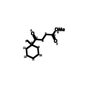 COC(=O)CCC(=O)C1(C)CCCCC1